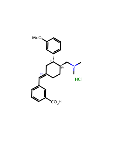 COc1cccc([C@H]2C/C(=C/c3cccc(C(=O)O)c3)CC[C@@H]2CN(C)C)c1.Cl